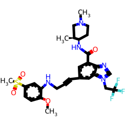 COc1ccc(S(C)(=O)=O)cc1NCC#Cc1cc(C(=O)N[C@@H]2CCN(C)C[C@@H]2C)c2ncn(CC(F)(F)F)c2c1